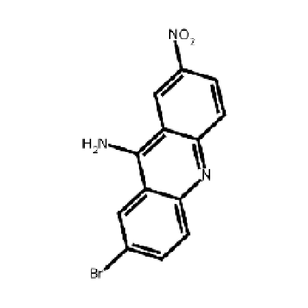 Nc1c2cc(Br)ccc2nc2ccc([N+](=O)[O-])cc12